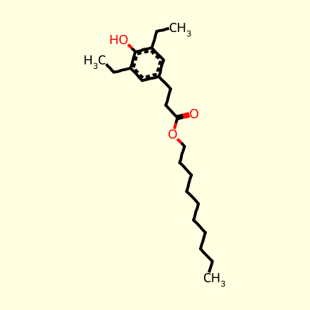 CCCCCCCCCCOC(=O)CCc1cc(CC)c(O)c(CC)c1